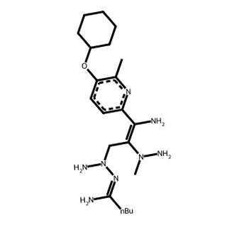 CCCC/C(N)=N/N(N)C/C(=C(/N)c1ccc(OC2CCCCC2)c(C)n1)N(C)N